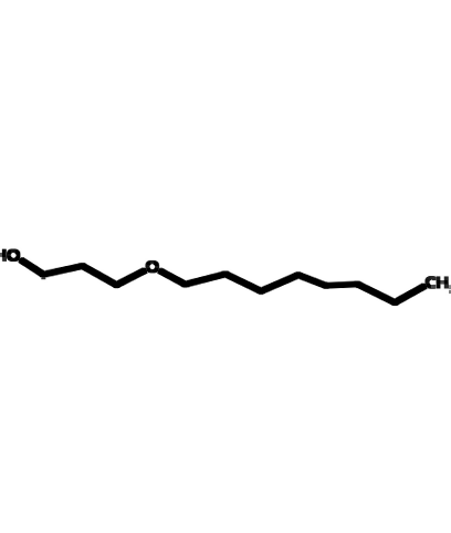 CCCCCCCCOCC[CH]O